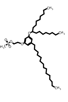 CCCCCCCCCCCCCCCc1cc(OCCOS(C)(=O)=O)cc(OC(CCCCCCCC)CCCCCCCC)c1